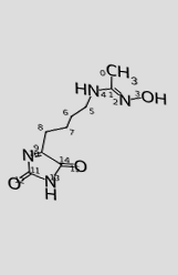 CC(=NO)NCCCCC1=NC(=O)NC1=O